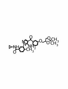 Cc1ccc(C(=O)NC2CC2)cc1-n1ncc(C(=O)c2cccc(OCC3COC(C)(C)O3)c2)c1N